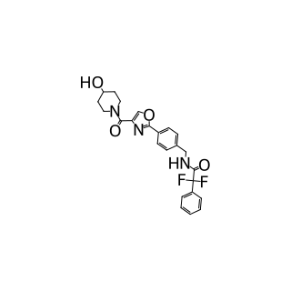 O=C(c1coc(-c2ccc(CNC(=O)C(F)(F)c3ccccc3)cc2)n1)N1CCC(O)CC1